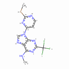 CNc1nc(C(F)(F)F)nc2c1ncn2-c1ccnc(SC)n1